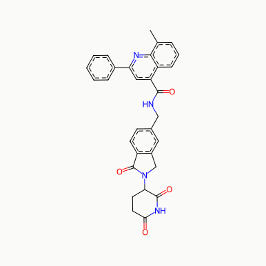 Cc1cccc2c(C(=O)NCc3ccc4c(c3)CN(C3CCC(=O)NC3=O)C4=O)cc(-c3ccccc3)nc12